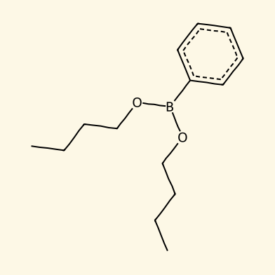 CCCCOB(OCCCC)c1ccccc1